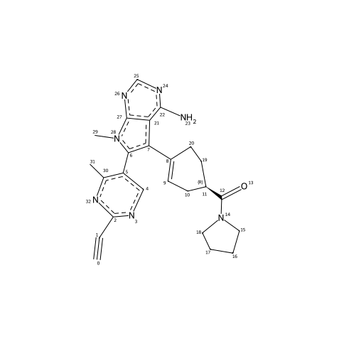 C#Cc1ncc(-c2c(C3=CC[C@H](C(=O)N4CCCC4)CC3)c3c(N)ncnc3n2C)c(C)n1